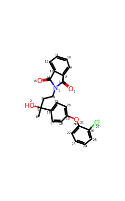 CC(O)(CCN1C(=O)c2ccccc2C1=O)c1ccc(Oc2ccccc2Cl)cc1